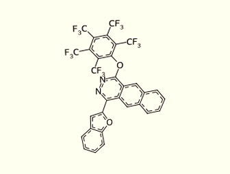 FC(F)(F)c1c(Oc2nnc(-c3cc4ccccc4o3)c3cc4ccccc4cc23)c(C(F)(F)F)c(C(F)(F)F)c(C(F)(F)F)c1C(F)(F)F